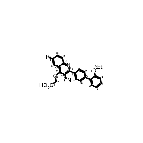 CCOc1ccccc1-c1ccc(-c2nc3ccc(F)cc3c(OCC(=O)O)c2C#N)cc1